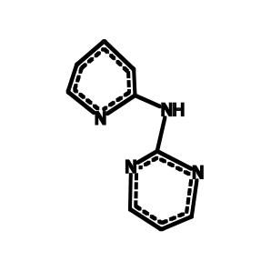 c1ccc(Nc2ncccn2)nc1